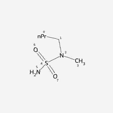 [CH2]CCCN(C)S(N)(=O)=O